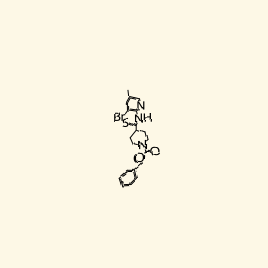 Cc1cnc(NC(=S)C2CCN(C(=O)OCc3ccccc3)CC2)c(Br)c1